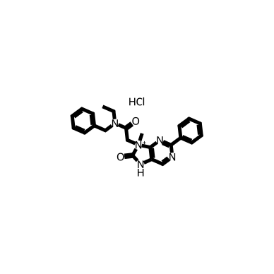 CCN(Cc1ccccc1)C(=O)C[N+]1(C)C(=O)Nc2cnc(-c3ccccc3)nc21.Cl